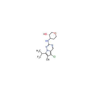 CC(c1c(C#N)c(Cl)c2cnc(N[C@@H]3CCOC[C@H]3O)nn12)C(F)(F)F